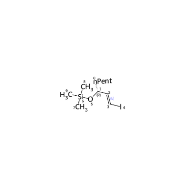 CCCCC[C@H](/C=C/I)O[Si](C)(C)C